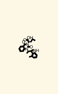 CCC[C@H](C(=O)O)n1c(=O)c2ccccc2n(C(C)c2c[nH]c3cccc(C)c23)c1=O